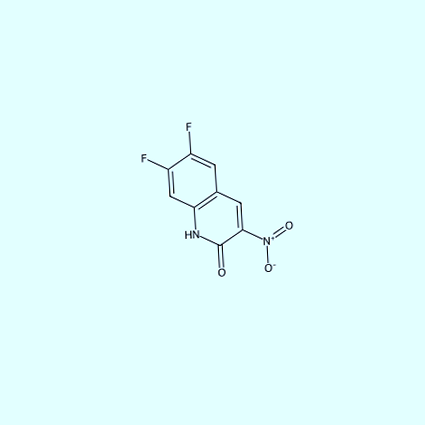 O=c1[nH]c2cc(F)c(F)cc2cc1[N+](=O)[O-]